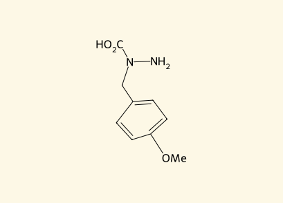 COc1ccc(CN(N)C(=O)O)cc1